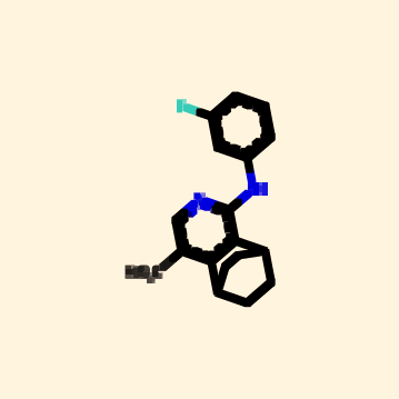 CCOC(=O)c1cnc(Nc2cccc(F)c2)c2c1C1CCC2CC1